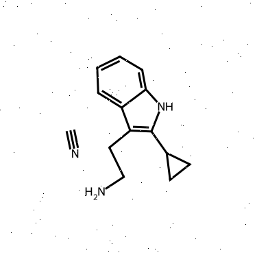 C#N.NCCc1c(C2CC2)[nH]c2ccccc12